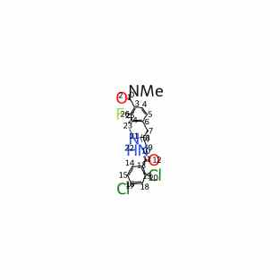 CNC(=O)c1ccc(C[C@@H](CNC(=O)c2ccc(Cl)cc2Cl)N(C)C)cc1F